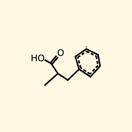 CC(Cc1c[c]ccc1)C(=O)O